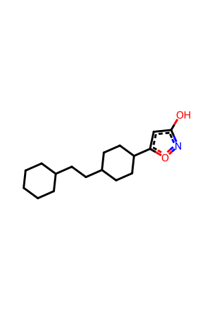 Oc1cc(C2CCC(CCC3CCCCC3)CC2)on1